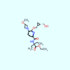 CCOC(=O)C(CC)(CC)NC(=O)c1ccc(N2CC(OC)C2)c(OC[C@H]2C[C@@H]2CO)n1